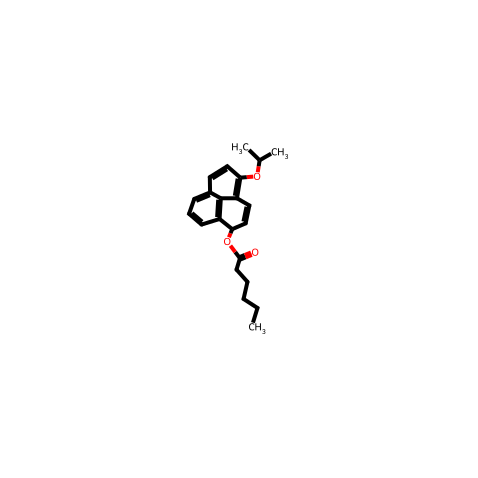 CCCCCC(=O)OC1C=Cc2c(OC(C)C)ccc3cccc1c23